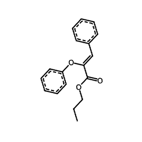 CCCOC(=O)C(=Cc1ccccc1)Oc1ccccc1